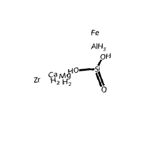 O=[Si](O)O.[AlH3].[CaH2].[Fe].[MgH2].[Zr]